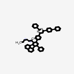 C=C/C=C\C=C(/C)c1c(-c2ccc(-c3cc(-c4ccc(-c5ccccc5)cc4)nc(-c4ccccc4)n3)cc2)cc(-c2ccccc2)c2c1-c1cccc3cccc-2c13